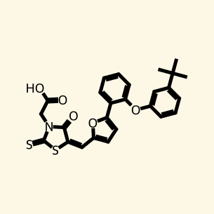 CC(C)(C)c1cccc(Oc2ccccc2-c2ccc(C=C3SC(=S)N(CC(=O)O)C3=O)o2)c1